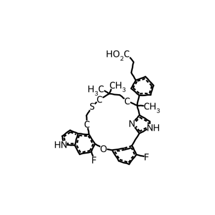 CC1(C)CCC(C)(c2cccc(CCC(=O)O)c2)c2c[nH]c(n2)-c2cc(ccc2F)Oc2c(F)cc3[nH]ccc3c2CCSC1